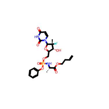 C=CCCOC(=O)[C@H](C)NP(=O)(OCC1OC(n2ccc(=O)[nH]c2=O)[C@](C)(F)[C@@H]1O)Oc1ccccc1